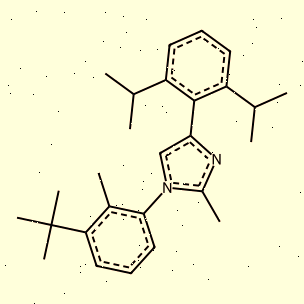 Cc1c(-n2cc(-c3c(C(C)C)cccc3C(C)C)nc2C)cccc1C(C)(C)C